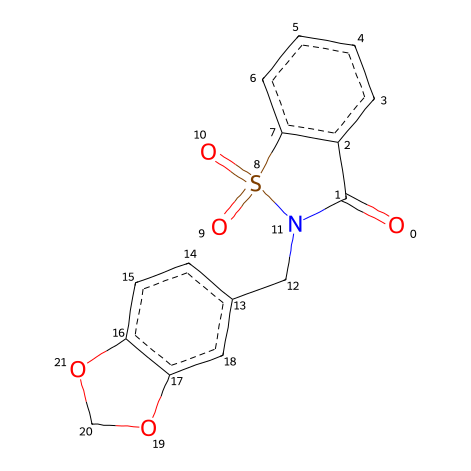 O=C1c2ccccc2S(=O)(=O)N1Cc1ccc2c(c1)OCO2